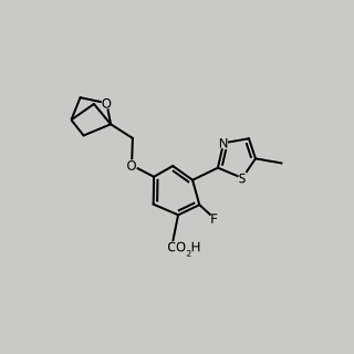 Cc1cnc(-c2cc(OCC34CC(CO3)C4)cc(C(=O)O)c2F)s1